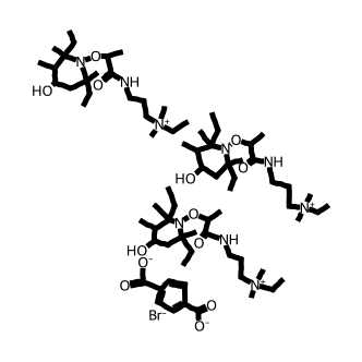 CCC1(C)CC(O)C(C)C(C)(CC)N1OC(C)C(=O)NCCC[N+](C)(C)CC.CCC1(C)CC(O)C(C)C(C)(CC)N1OC(C)C(=O)NCCC[N+](C)(C)CC.CCC1(C)CC(O)C(C)C(C)(CC)N1OC(C)C(=O)NCCC[N+](C)(C)CC.O=C([O-])c1ccc(C(=O)[O-])cc1.[Br-]